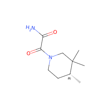 C[C@@H]1CCN(C(=O)C(N)=O)CC1(C)C